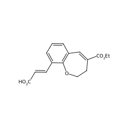 CCOC(=O)C1=Cc2cccc(/C=C/C(=O)O)c2OCC1